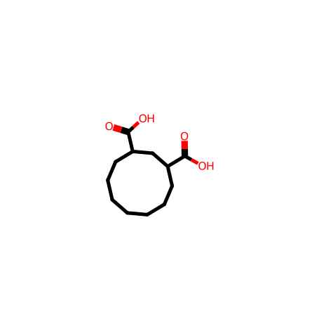 O=C(O)C1CCCCCCCC(C(=O)O)C1